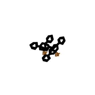 BrC12CC3(c4ccccc4)CC(c4ccccc4)(C1)CC(C14CC5(Br)CC(c6ccccc6)(CC(c6ccccc6)(C5)C1)C4)(C2)C3